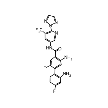 Nc1cc(-c2ccc(F)cc2N)c(F)cc1C(=O)Nc1cnc(-n2nccn2)c(C(F)(F)F)c1